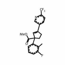 COC(=O)C1(c2cccc(F)c2C)C=C(c2ccc(C(F)(F)F)nc2)CC1